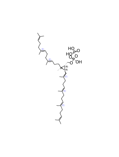 CC(C)=CCC/C(C)=C/CC/C(C)=C/CC/C(C)=C/[C@@H]1[C@@H](COP(=O)(O)OP(=O)(O)O)[C@]1(C)CC/C=C(\C)CC/C=C(\C)CCC=C(C)C